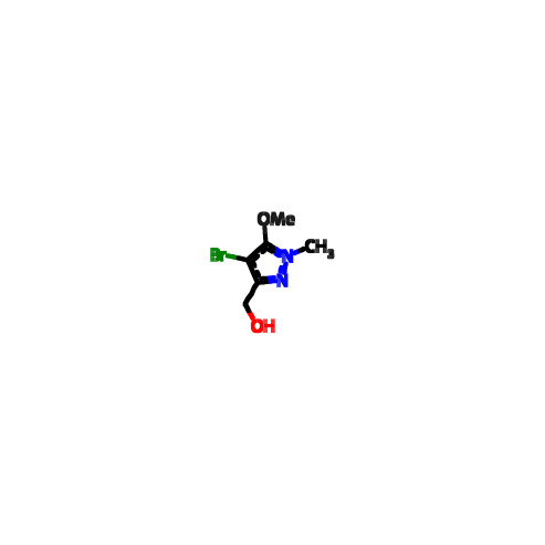 COc1c(Br)c(CO)nn1C